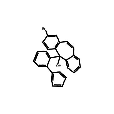 OC1(c2ccccc2-c2ccccc2)c2ccccc2C=Cc2cc(Br)ccc21